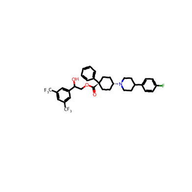 O=C(OCC(O)c1cc(C(F)(F)F)cc(C(F)(F)F)c1)[C@]1(c2ccccc2)CC[C@@H](N2CCC(c3ccc(F)cc3)CC2)CC1